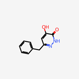 O=c1[nH]nc(Cc2ccccc2)cc1O